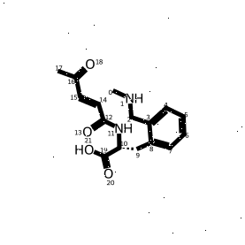 CNCc1ccccc1C[C@@H](NC(=O)/C=C/C(C)=O)C(=O)O